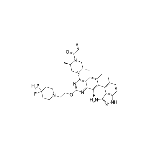 C=CC(=O)N1C[C@H](C)N(c2nc(OCCN3CCC(F)(P)CC3)nc3c(F)c(-c4c(C)ccc5[nH]nc(N)c45)c(C)cc23)C[C@H]1C